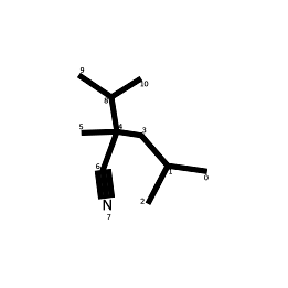 CC(C)CC(C)(C#N)C(C)C